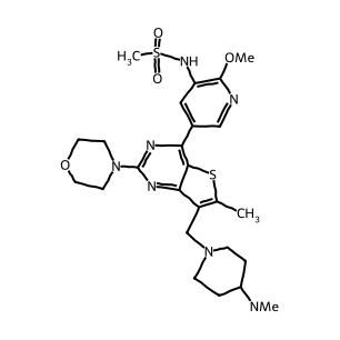 CNC1CCN(Cc2c(C)sc3c(-c4cnc(OC)c(NS(C)(=O)=O)c4)nc(N4CCOCC4)nc23)CC1